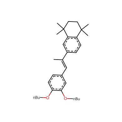 CCCCOc1ccc(C=C(C)c2ccc3c(c2)C(C)(C)CCC3(C)C)cc1OCCCC